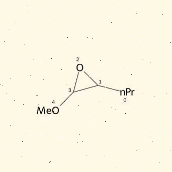 CCCC1OC1OC